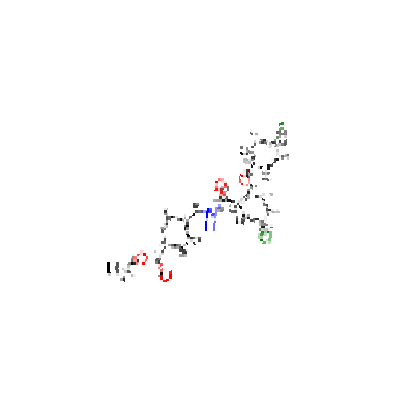 COC(=O)c1ccc(CNC(=O)c2cc(Cl)ccc2Oc2ccc(F)cc2)cc1